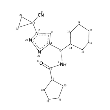 N#CC1(n2cc([C@@H](NC(=O)C3CCCC3)C3CCCCC3)nn2)CC1